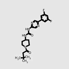 CC(C)(C)CC(=O)N1CCC(NC(=O)Nc2cnc(-c3cc(F)cc(F)c3)cn2)CC1